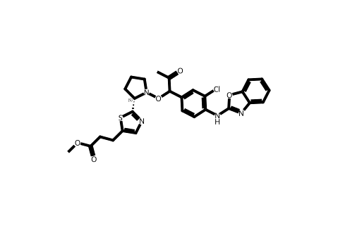 COC(=O)CCc1cnc([C@@H]2CCCN2OC(C(C)=O)c2ccc(Nc3nc4ccccc4o3)c(Cl)c2)s1